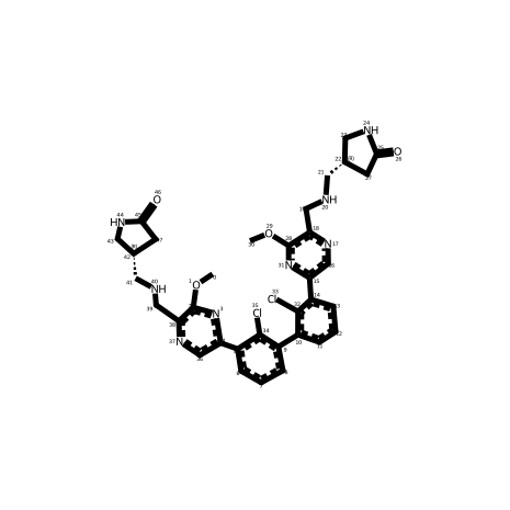 COc1nc(-c2cccc(-c3cccc(-c4cnc(CNC[C@@H]5CNC(=O)C5)c(OC)n4)c3Cl)c2Cl)cnc1CNC[C@@H]1CNC(=O)C1